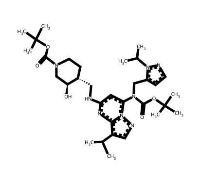 CC(C)c1cnn2c(N(Cc3ccnn3C(C)C)C(=O)OC(C)(C)C)cc(NC[C@H]3CCN(C(=O)OC(C)(C)C)C[C@@H]3O)nc12